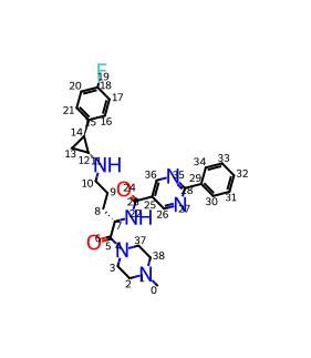 CN1CCN(C(=O)[C@H](CCCN[C@@H]2C[C@H]2c2ccc(F)cc2)NC(=O)c2cnc(-c3ccccc3)nc2)CC1